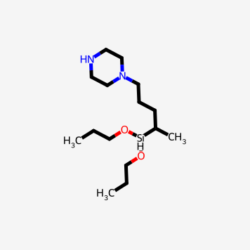 CCCO[SiH](OCCC)C(C)CCCN1CCNCC1